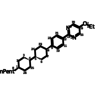 CCCCC[C@H]1CC[C@H]([C@H]2CC[C@H](c3ccc(-c4ncc(OCC)cn4)cc3)CC2)CC1